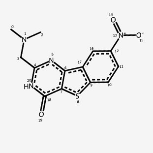 CN(C)Cc1nc2c(sc3ccc([N+](=O)[O-])cc32)c(=O)[nH]1